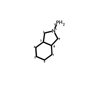 PN1CC2CCCCC2C1